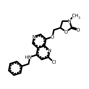 CN1CC(COc2cncc3c(NCc4ccccc4)cc(Cl)nc23)OC1=O